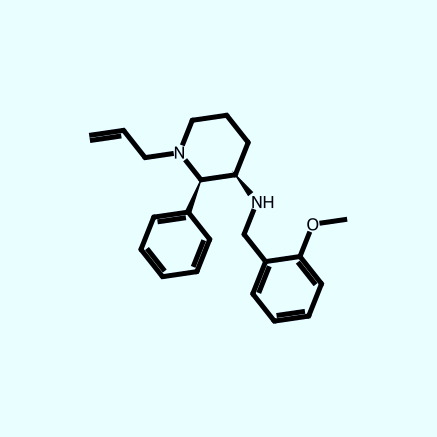 C=CCN1CCC[C@@H](NCc2ccccc2OC)[C@H]1c1ccccc1